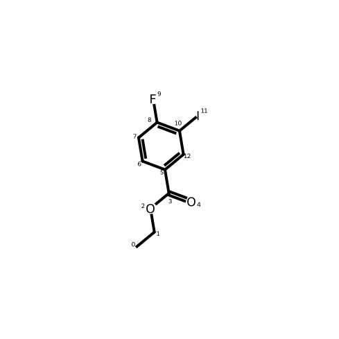 CCOC(=O)c1ccc(F)c(I)c1